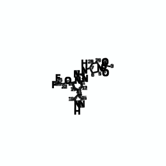 CS(=O)(=O)N1CCC(Nc2nc3cc(-c4cn[nH]c4)cc(OCC(F)F)n3n2)CC1